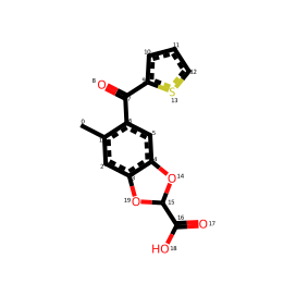 Cc1cc2c(cc1C(=O)c1cccs1)OC(C(=O)O)O2